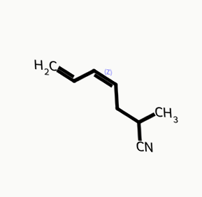 C=C/C=C\CC(C)C#N